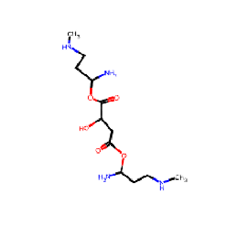 CNCCC(N)OC(=O)CC(O)C(=O)OC(N)CCNC